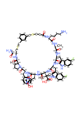 C[C@H]1NC(=O)[C@H](CCCCN)NC(=O)CCSCc2cccc(c2)CSC[C@@H](C(N)=O)NC(=O)[C@]2(C)CCCN2C(=O)[C@H](Cc2ccc(O)cc2)NC(=O)[C@H](Cc2cnc[nH]2)NC(=O)[C@H](C(C)(C)C(=O)O)NC(=O)[C@H](Cc2c[nH]c3ccc(F)cc23)NC(=O)[C@H](Cc2c[nH]c3ccc(F)cc23)NC1=O